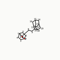 C1CC2CCC1CN(CCC1C3CC4CC(C3)CC1C4)C2